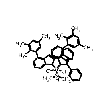 Cc1cc(C)c(C)c(-c2cccc3c2C=C(c2ccccc2)[CH]3[Zr]([Cl])([Cl])([CH]2C(c3ccccc3)=Cc3c(-c4cc(C)cc(C)c4C)cccc32)[SiH](C)C)c1